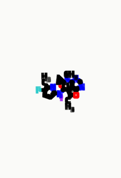 Cc1nc(N(I)C(=O)c2c(C)oc3ncnc(N(C)C4(C)CC4)c23)ccc1F